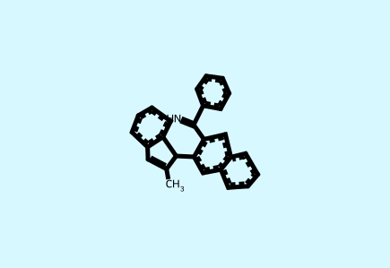 CC1=Cc2ccccc2C1c1cc2ccccc2cc1C(=N)c1ccccc1